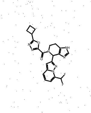 O=C(c1nnc(C2CCC2)o1)N1CCc2[nH]cnc2C1c1cc2cccc(C(F)F)n2n1